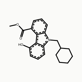 COC(=O)c1cccc2c1c1c(O)cccc1n2CC1CCCCC1